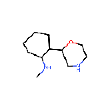 CNC1CCCCC1C1CNCCO1